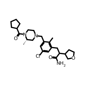 Cc1c(CC(C(N)=O)C2CCOC2)cc(Cl)cc1CN1CCN(C(=O)C2CCCC2)[C@@H](C)C1